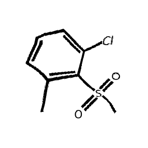 Cc1cccc(Cl)c1S(C)(=O)=O